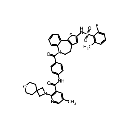 Cc1cnc(N2CC3(CCOCC3)C2)c(C(=O)Nc2ccc(C(=O)N3CCc4cc(NS(=O)(=O)c5c(C)cccc5F)sc4-c4ccccc43)cc2)c1